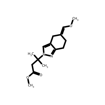 CO/C=C1\CCc2nn(C(C)(C)CC(=O)OC)cc2C1